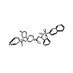 CN1CCN(C2(CNC(=O)c3cccnc3)CCN(C(=O)CC(NS(=O)(=O)c3ccc4ccccc4c3)c3ccccc3)CC2)CC1